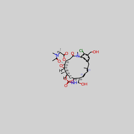 CC(=O)N(C)[C@H](C)C(=O)O[C@H]1CC(=O)N(C)c2cc(cc(CO)c2Cl)C/C(C)=C/C=C/[C@@H](CO)[C@@]2(O)C[C@H](OC(=O)N2)[C@@H](C)[C@@H]2O[C@@]12C